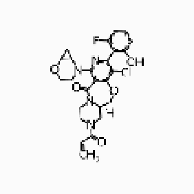 C=CC(=O)N1CCN2C(=O)c3c(N4CCOC5CC54)nc(-c4c(O)cccc4F)c(Cl)c3OC[C@H]2C1